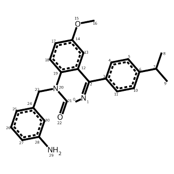 C/N=C(/c1ccc(C(C)C)cc1)c1cc(OC)ccc1N(C=O)Cc1cccc(N)c1